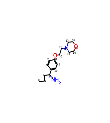 CCCC(N)c1ccc(OCCN2CCOCC2)cc1